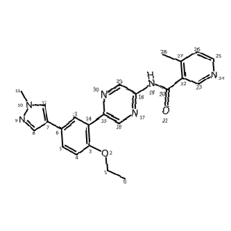 CCOc1ccc(-c2cnn(C)c2)cc1-c1cnc(NC(=O)c2cnccc2C)cn1